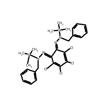 C[Si](C)(C)N(Cc1ccccc1)N=C1C(=NN(Cc2ccccc2)[Si](C)(C)C)C(Cl)=C(Cl)C(Cl)=C1Cl